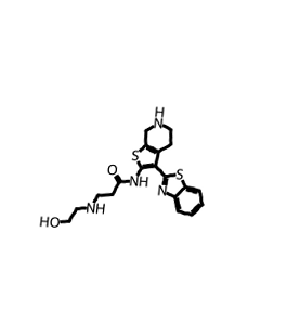 O=C(CCNCCO)Nc1sc2c(c1-c1nc3ccccc3s1)CCNC2